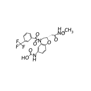 CONC(=O)C[C@H]1CN(S(=O)(=O)c2cccc(C(F)(F)F)c2)c2cc(NC(=O)O)ccc2O1